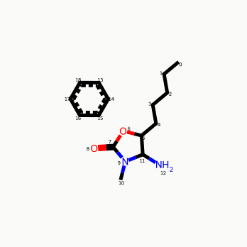 CCCCCC1OC(=O)N(C)C1N.c1ccccc1